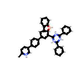 Cc1ccc(-c2ccc(-c3cc(-c4nc(-c5ccccc5)nc(-c5ccccc5)n4)c4oc5ccccc5c4c3)cc2)cn1